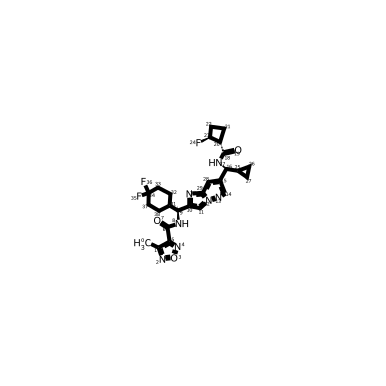 Cc1nonc1C(=O)N[C@H](c1cn2ncc([C@H](NC(=O)[C@H]3CC[C@@H]3F)C3CC3)cc2n1)C1CCC(F)(F)CC1